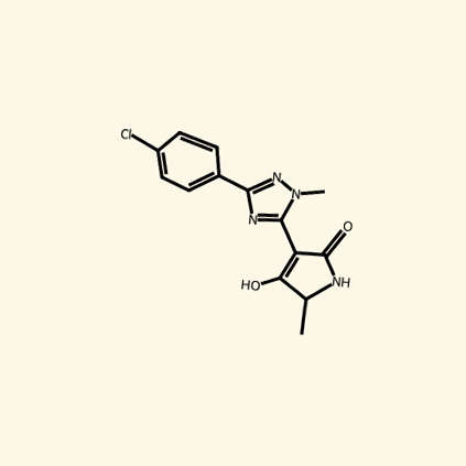 CC1NC(=O)C(c2nc(-c3ccc(Cl)cc3)nn2C)=C1O